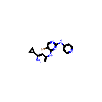 C=C(/C=C(\N)C1CC1)Nc1nc(Nc2ccncc2)ncc1Br